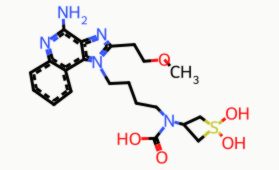 COCCc1nc2c(N)nc3ccccc3c2n1CCCCN(C(=O)O)C1CS(O)(O)C1